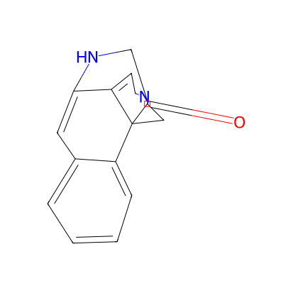 O=C1CC23CCNC(=Cc4ccccc42)C3=CC=N1